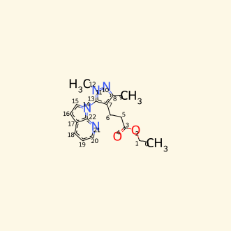 CCOC(=O)CCc1c(C)nn(C)c1-n1ccc2cccnc21